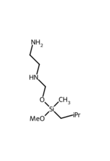 CO[Si](C)(CC(C)C)OCNCCN